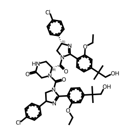 CCOc1cc(C(C)(C)CO)ccc1C1=N[C@@H](c2ccc(Cl)cc2)CN1C(=O)[C@H]1CNC(=O)CN1C(=O)N1CC(c2ccc(Cl)cc2)N=C1c1ccc(C(C)(C)CO)cc1OCC